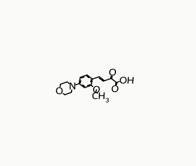 COc1cc(N2CCOCC2)ccc1/C=C/C(=O)C(=O)O